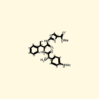 COC(=O)c1csc(NC(=O)C(NC(=O)[C@H](N)c2ccc(NC(C)=O)cc2)C(C)c2ccccc2)n1